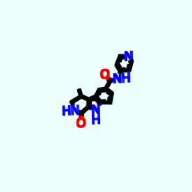 CC1CNC(=O)c2[nH]c3ccc(C(=O)Nc4ccncc4)cc3c21